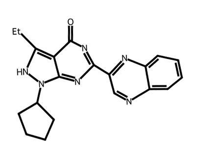 CCc1[nH]n(C2CCCC2)c2nc(-c3cnc4ccccc4n3)nc(=O)c1-2